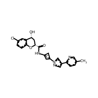 Cc1ccc(-c2cnn(C34CC(NC(=O)[C@H]5C[C@@H](O)c6cc(Cl)ccc6O5)(C3)C4)c2)nc1